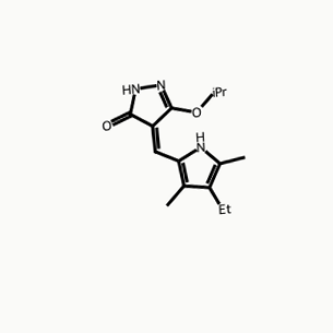 CCc1c(C)[nH]c(C=C2C(=O)NN=C2OC(C)C)c1C